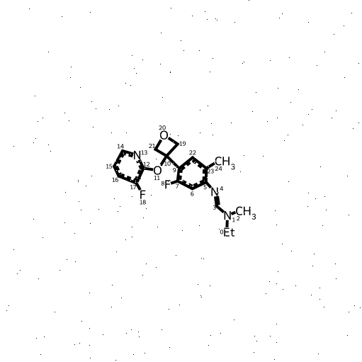 CCN(C)C=Nc1cc(F)c(C2(Oc3ncccc3F)COC2)cc1C